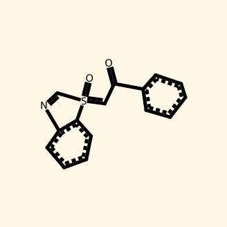 O=C(C=S1(=O)C=Nc2ccccc21)c1ccccc1